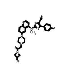 CN(c1nc(-c2ccc(F)cc2)c(C#N)s1)c1ccnc2ccc(N3CCN(CC(=O)N4CC(O)C4)CC3)cc12